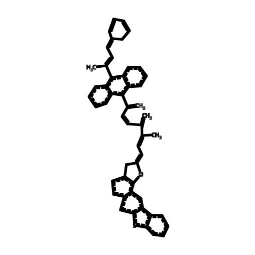 C=C(/C=C\C(=C)c1c2ccccc2c(/C(C)=C/C=C2/C=CC=CC2)c2ccccc12)/C(C)=C/C=C1\Cc2ccc3cc4sc5ccccc5c4cc3c2O1